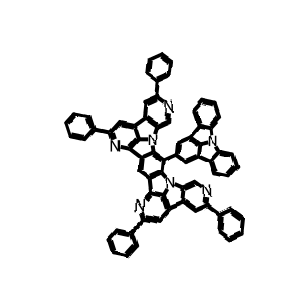 c1ccc(-c2cc3c4cc(-c5ccccc5)nc5c6cc7c8nc(-c9ccccc9)cc9c%10cc(-c%11ccccc%11)ncc%10n(c7c(-c7cc%10c%11ccccc%11n%11c%12ccccc%12c(c7)c%10%11)c6n(c3cn2)c45)c98)cc1